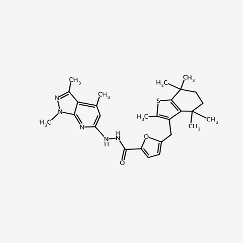 Cc1sc2c(c1Cc1ccc(C(=O)NNc3cc(C)c4c(C)nn(C)c4n3)o1)C(C)(C)CCC2(C)C